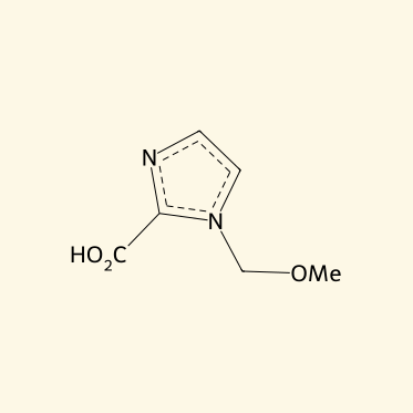 COCn1ccnc1C(=O)O